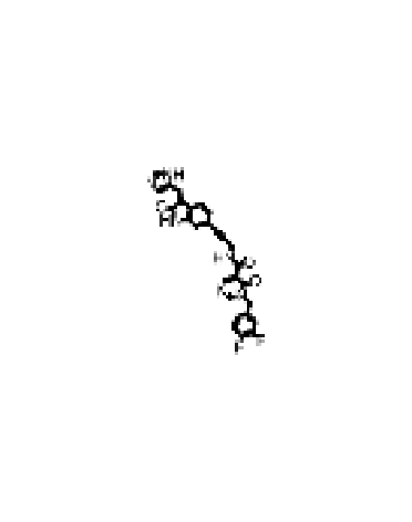 O=C1Nc2cc(C#CCNC(=O)c3cncn(Cc4ccc(F)c(F)c4)c3=O)ccc2C1=Cc1cnc[nH]1